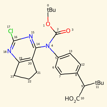 CC(C)(C)OC(=O)N(c1ccc(C(C(=O)O)C(C)(C)C)cc1)c1nc(Cl)nc2c1CCC2